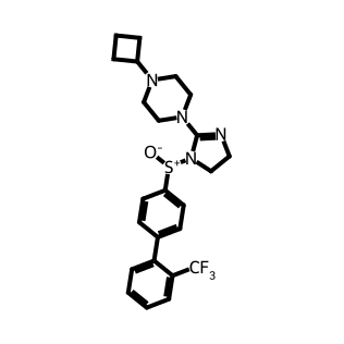 [O-][S+](c1ccc(-c2ccccc2C(F)(F)F)cc1)N1CCN=C1N1CCN(C2CCC2)CC1